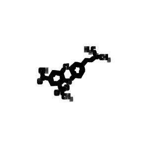 CN(C)CCc1ccc(Oc2c(Cl)cc(C(=O)O)cc2S(C)(=O)=O)cc1